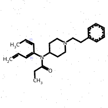 C=C/C=C(\C=C/C)N(C(=O)CC)C1CCN(CCc2ccccc2)CC1